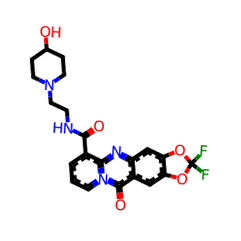 O=C(NCCN1CCC(O)CC1)c1cccn2c(=O)c3cc4c(cc3nc12)OC(F)(F)O4